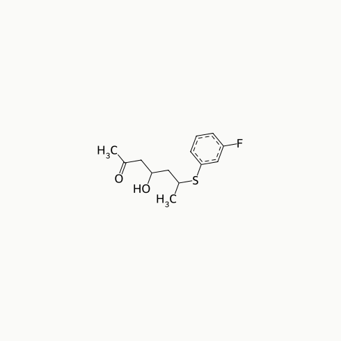 CC(=O)CC(O)CC(C)Sc1cccc(F)c1